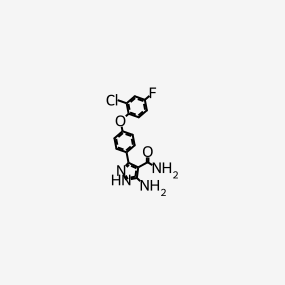 NC(=O)c1c(-c2ccc(Oc3ccc(F)cc3Cl)cc2)n[nH]c1N